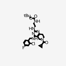 CC(C)(C)OC(=O)NCCNc1nc2c(c(NCc3ccc(F)cc3Cl)n1)CN(C(=O)C1CC1)CC2